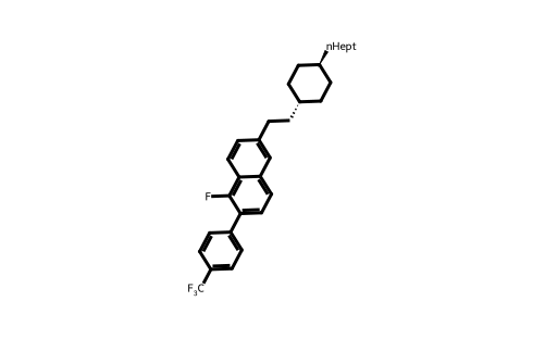 CCCCCCC[C@H]1CC[C@H](CCc2ccc3c(F)c(-c4ccc(C(F)(F)F)cc4)ccc3c2)CC1